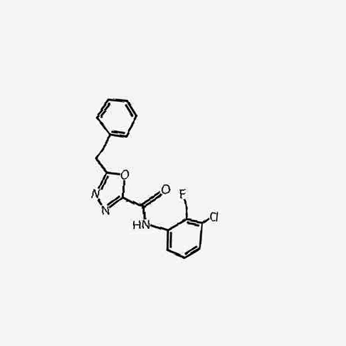 O=C(Nc1cccc(Cl)c1F)c1nnc(Cc2ccccc2)o1